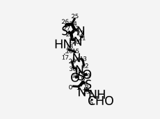 Cc1nc(NC=O)sc1S(=O)(=O)N1CCN(C[C@H](C)Nc2ncnc3c(C)csc23)CC1